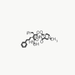 CC(C)C[C@@H](C(=O)NN1C(=O)C2CN(C)CCN2C1=O)[C@H](CCCc1ccccc1)C(=O)NO